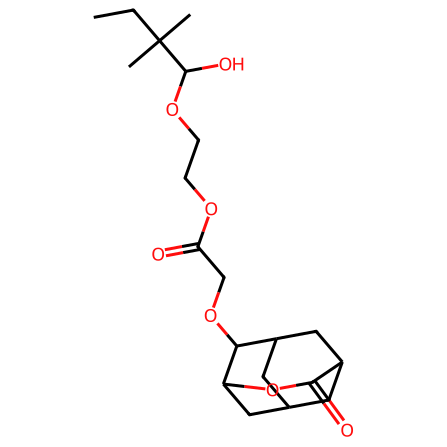 CCC(C)(C)C(O)OCCOC(=O)COC1C2CC3CC(C2)C(=O)OC1C3